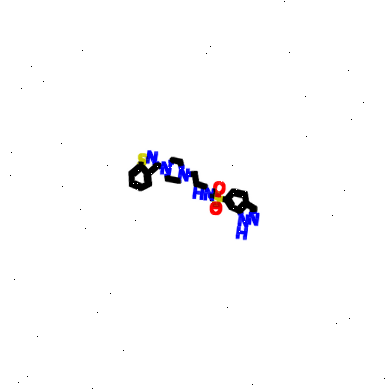 O=S(=O)(NCCCN1CCN(c2nsc3ccccc23)CC1)c1ccc2cn[nH]c2c1